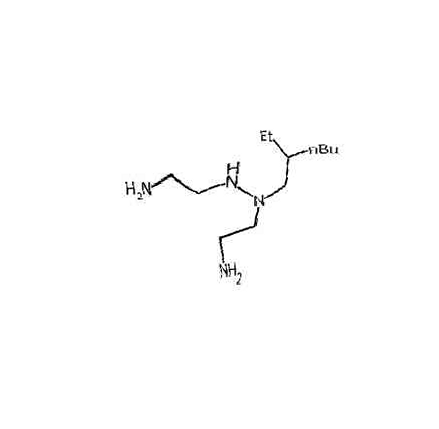 CCCCC(CC)CN(CCN)NCCN